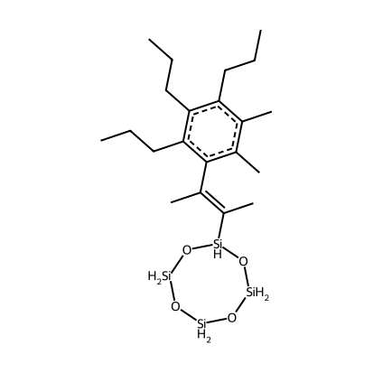 CCCc1c(C)c(C)c(C(C)=C(C)[SiH]2O[SiH2]O[SiH2]O[SiH2]O2)c(CCC)c1CCC